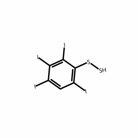 SSc1c(I)cc(I)c(I)c1I